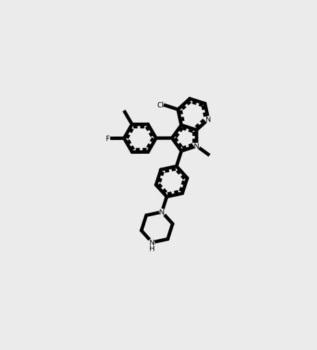 Cc1cc(-c2c(-c3ccc(N4CCNCC4)cc3)n(C)c3nccc(Cl)c23)ccc1F